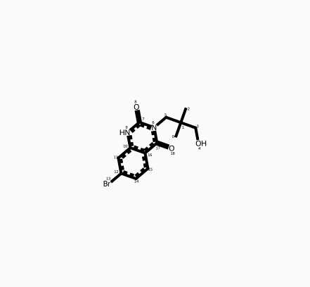 CC(C)(CO)Cn1c(=O)[nH]c2cc(Br)ccc2c1=O